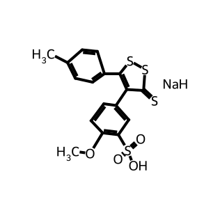 COc1ccc(-c2c(-c3ccc(C)cc3)ssc2=S)cc1S(=O)(=O)O.[NaH]